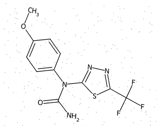 COc1ccc(N(C(N)=O)c2nnc(C(F)(F)F)s2)cc1